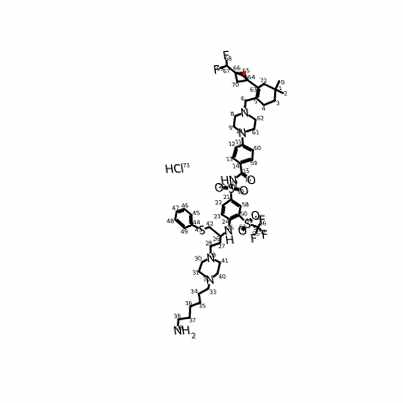 CC1(C)CCC(CN2CCN(c3ccc(C(=O)NS(=O)(=O)c4ccc(NC(CCN5CCN(CCCCCCN)CC5)CSc5ccccc5)c(S(=O)(=O)C(F)(F)F)c4)cc3)CC2)=C(C23CC(C(F)F)(C2)C3)C1.Cl